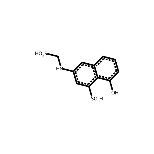 O=S(=O)(O)CNc1cc(S(=O)(=O)O)c2c(O)cccc2c1